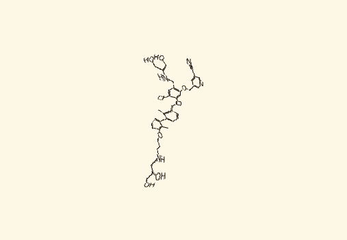 Cc1c(COc2cc(OCc3cncc(C#N)c3)c(CNC(CO)CO)cc2Cl)cccc1-c1cccc(OCCCNCC(O)CO)c1C